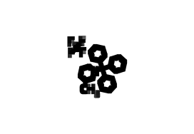 Cc1ccc[n+](C(c2ccccc2)(c2ccccc2)c2ccccc2)c1.F[B-](F)(F)F